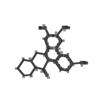 COc1ccc2c3c(c4cc(OC)c(OC)cc4c2c1)CC1CCCCN1C3=O